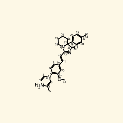 C=CN(/C=C(/C)N)c1ccc(/C=C/C2=NC(=O)C3(c4ccc(F)cc4)CCCCN23)cc1OC